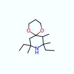 CCC1(C)CC2(OCCCO2)C(C)C(C)(CC)N1